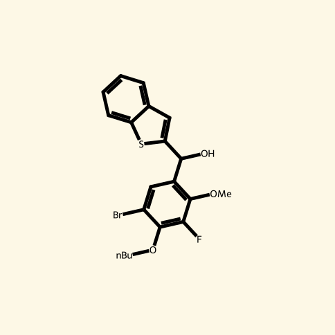 CCCCOc1c(Br)cc(C(O)c2cc3ccccc3s2)c(OC)c1F